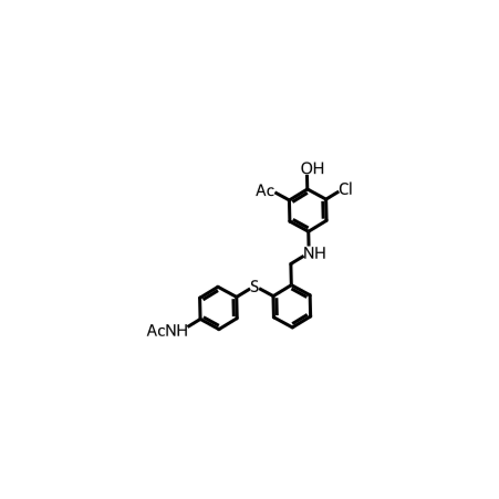 CC(=O)Nc1ccc(Sc2ccccc2CNc2cc(Cl)c(O)c(C(C)=O)c2)cc1